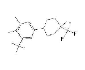 Cc1cc(C2CCC(C)(C(F)(F)F)CC2)cc(C(C)(C)C)c1C